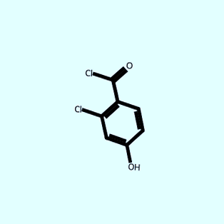 O=C(Cl)c1ccc(O)cc1Cl